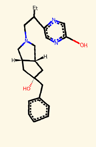 CCC(CN1C[C@@H]2C[C@@](O)(Cc3ccccc3)C[C@@H]2C1)c1cnc(O)cn1